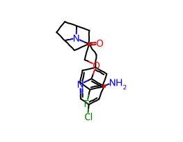 Nc1cc(Cl)cnc1OCC(=O)N1C2CCC1CC(Cc1ccc(F)cc1)C2